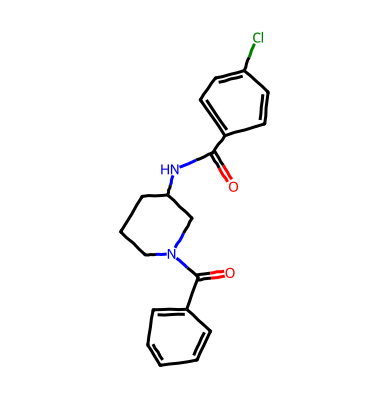 O=C(NC1CCCN(C(=O)c2ccccc2)C1)c1ccc(Cl)cc1